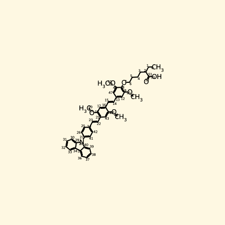 CCC(CCCCOc1c(OC)cc(C=Cc2cc(OC)c(C=Cc3ccc(-n4c5ccccc5c5ccccc54)cc3)cc2OC)cc1OC)C(=O)O